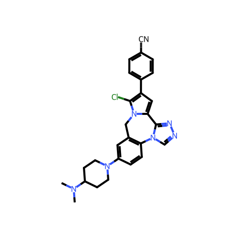 CN(C)C1CCN(c2ccc3c(c2)Cn2c(cc(-c4ccc(C#N)cc4)c2Cl)-c2nncn2-3)CC1